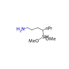 CCCC(CCCN)[SiH](OC)OC